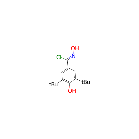 CC(C)(C)c1cc(C(Cl)=NO)cc(C(C)(C)C)c1O